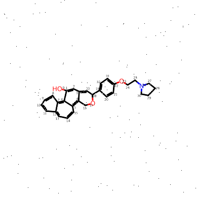 Oc1cc2c(c3c1=c1ccccc1=CC=C3)COC(c1ccc(OCCN3CCCC3)cc1)C=2